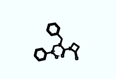 O=C1CCN1C(=O)N(Cc1ccccc1)C[S+]([O-])c1ccccc1